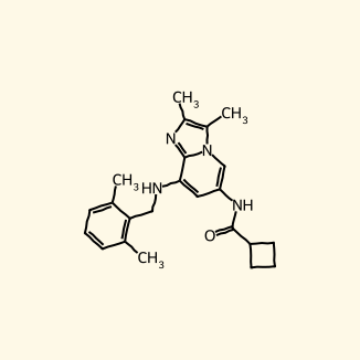 Cc1cccc(C)c1CNc1cc(NC(=O)C2CCC2)cn2c(C)c(C)nc12